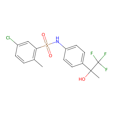 Cc1ccc(Cl)cc1S(=O)(=O)Nc1ccc(C(C)(O)C(F)(F)F)cc1